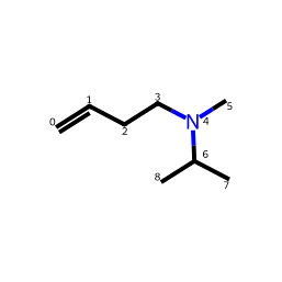 C=CCCN(C)C(C)C